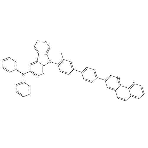 Cc1cc(-c2ccc(-c3cnc4c(ccc5cccnc54)c3)cc2)ccc1-n1c2ccccc2c2cc(N(c3ccccc3)c3ccccc3)ccc21